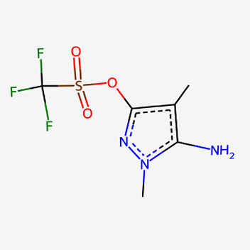 Cc1c(OS(=O)(=O)C(F)(F)F)nn(C)c1N